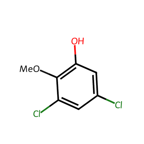 COc1c(O)cc(Cl)cc1Cl